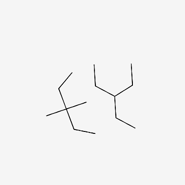 CCC(C)(C)CC.CCC(CC)CC